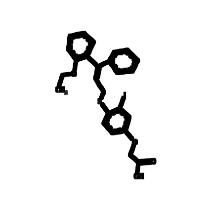 CCOc1ccccc1C(=CCSc1ccc(OCC(=O)O)cc1I)c1ccccc1